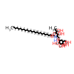 CCCCCCCCCCCCCCCCCCCCCCCCOC(=O)NC(COC1CC(CO)C(O)C(O)C1O)C(O)CC(O)CC